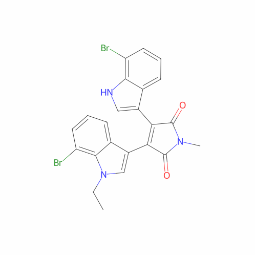 CCn1cc(C2=C(c3c[nH]c4c(Br)cccc34)C(=O)N(C)C2=O)c2cccc(Br)c21